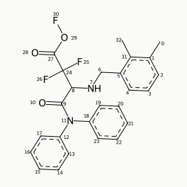 Cc1cccc(CNC(C(=O)N(c2ccccc2)c2ccccc2)C(F)(F)C(=O)OF)c1C